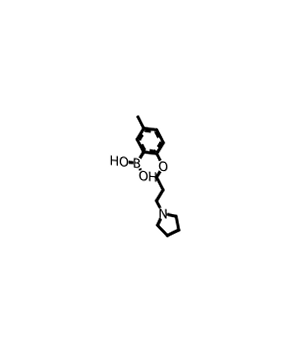 Cc1ccc(OCCCN2CCCC2)c(B(O)O)c1